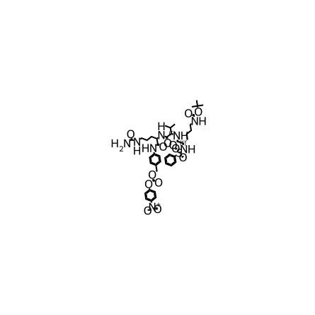 CC(C)[C@H](NC(=O)[C@H](CCCCNC(=O)OC(C)(C)C)NS(=O)(=O)c1ccccc1)C(=O)NC(CCCNC(N)=O)C(=O)Nc1ccc(COC(=O)Oc2ccc([N+](=O)[O-])cc2)cc1